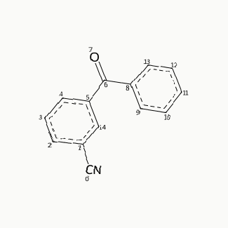 N#Cc1cccc(C(=O)c2ccccc2)c1